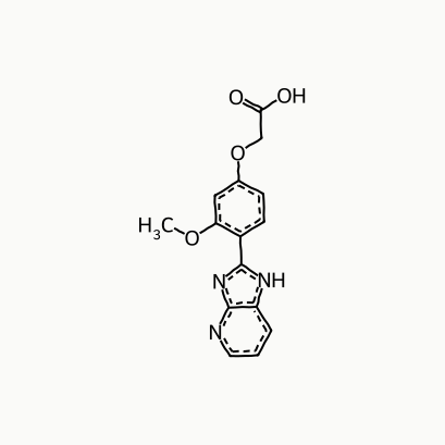 COc1cc(OCC(=O)O)ccc1-c1nc2ncccc2[nH]1